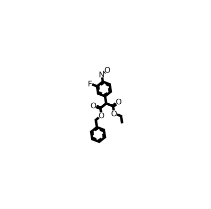 CCOC(=O)C(C(=O)OCc1ccccc1)c1ccc(N=O)c(F)c1